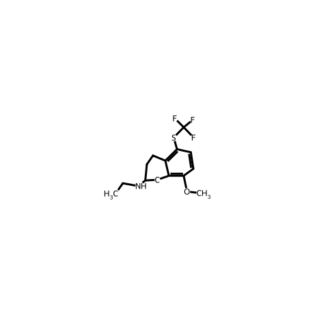 CCNC1CCc2c(SC(F)(F)F)ccc(OC)c2C1